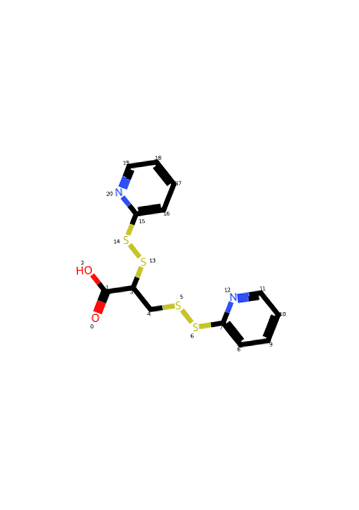 O=C(O)C(CSSc1ccccn1)SSc1ccccn1